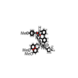 COc1ccc(CN(Cc2ccc(OC)cc2)S(=O)(=O)c2c(S(=O)(=O)N[C@@H]3CC[N+](C)(C)C3)ccc(-c3cccc4[nH]c(N)nc34)c2-c2nnn(Cc3ccc(OC)cc3)n2)cc1